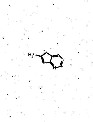 CC1=Cc2n[c]ncc2C1